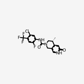 C[C@H]1CN(C(=O)Nc2cc(Cl)c(C(F)(F)F)cc2F)Cc2c[nH]c(=O)cc21